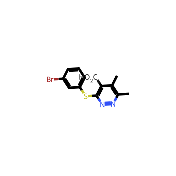 Cc1nnc(Sc2cccc(Br)c2)c(C(=O)O)c1C